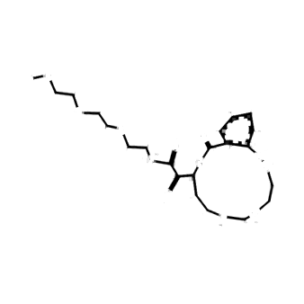 COCCOCCOCCNC(=O)C(=O)C1CCCCOCCOCc2ccccc2C(=O)N1